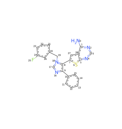 Nc1ncnc2sc(-c3c(-c4ccccc4)ncn3Cc3cccc(F)c3)cc12